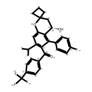 CC(C)c1cc2c(c(-c3ccc(F)cc3)c1C(=O)c1ccc(C(F)(F)F)cc1)[C@@H](O)CC1(CCC1)O2